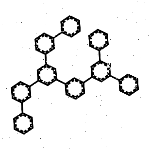 c1ccc(-c2cccc(-c3cc(-c4cccc(-c5ccccc5)c4)cc(-c4cccc(-c5cc(-c6ccccc6)nc(-c6ccccc6)c5)c4)c3)c2)cc1